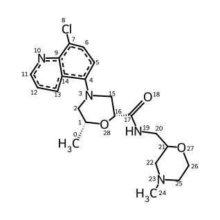 C[C@@H]1CN(c2ccc(Cl)c3ncccc23)C[C@H](C(=O)NCC2CN(C)CCO2)O1